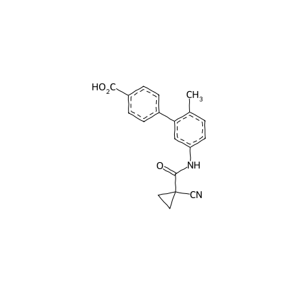 Cc1ccc(NC(=O)C2(C#N)CC2)cc1-c1ccc(C(=O)O)cc1